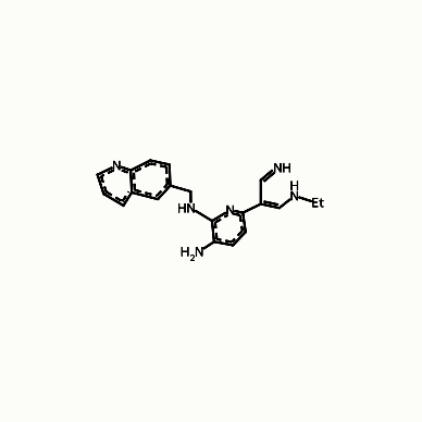 CCN/C=C(\C=N)c1ccc(N)c(NCc2ccc3ncccc3c2)n1